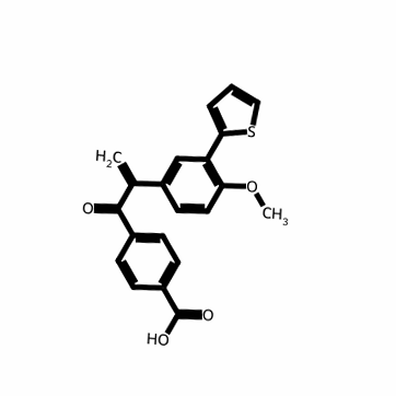 C=C(C(=O)c1ccc(C(=O)O)cc1)c1ccc(OC)c(-c2cccs2)c1